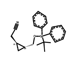 CC(C)(C)[Si](OC[C@@H]1C[C@H]1CC#N)(c1ccccc1)c1ccccc1